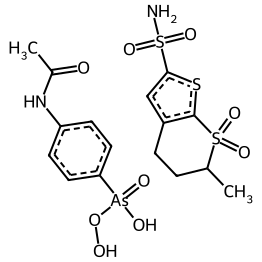 CC(=O)Nc1ccc([As](=O)(O)OO)cc1.CC1CCc2cc(S(N)(=O)=O)sc2S1(=O)=O